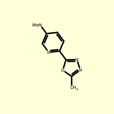 CNc1ccc(-c2nnc(C)o2)nc1